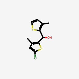 Cc1ccsc1C(O)c1sc(Cl)cc1C